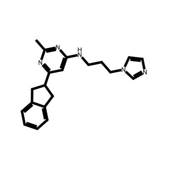 Cc1nc(NCCCn2ccnc2)cc(C2Cc3ccccc3C2)n1